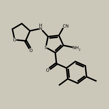 Cc1ccc(C(=O)c2sc(NC3CCOC3=O)c(C#N)c2N)c(C)c1